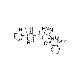 CC(C)(NC(=O)c1cc2[nH]nc(NC(=O)c3ccccc3[N+](=O)[O-])c2o1)c1ccccc1